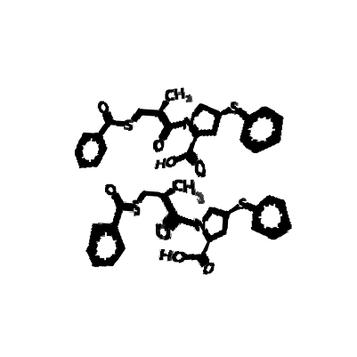 C[C@H](CSC(=O)c1ccccc1)C(=O)N1C[C@@H](Sc2ccccc2)C[C@H]1C(=O)O.C[C@H](CSC(=O)c1ccccc1)C(=O)N1C[C@@H](Sc2ccccc2)C[C@H]1C(=O)O